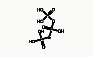 O=P(O)(O)OP(=O)(O)SP(=O)(O)O